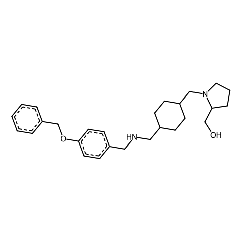 OCC1CCCN1CC1CCC(CNCc2ccc(OCc3ccccc3)cc2)CC1